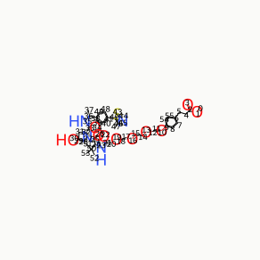 COC(=O)CCc1ccc(OCCOCCOCCOCC(=O)NC(C(=O)N2C[C@H](O)C[C@H]2C(=O)N[C@@H](C)c2ccc(-c3scnc3C)cc2)C(C)(C)C)cc1